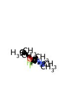 CCN(C)C=Nc1cc(C(F)F)c(OCCC[Si](C)(C)C)cc1C